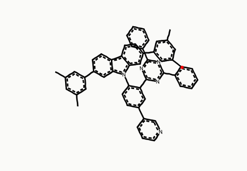 Cc1cc(C)cc(-c2ccc3c4ccc(-c5cc(C)cc(C)c5)cc4n(-c4ccc(-c5cccnc5)cc4-c4nc(-c5ccccc5)nc(-c5ccccc5)n4)c3c2)c1